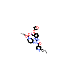 Cc1cc(C(=O)Nc2nc3ccc(O[C@@H]4CCOC4)c(CI)c3n2[C@@H]2CCCCN(C(=O)OC(C)(C)C)C2)ccn1